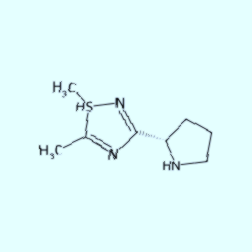 CC1=NC([C@@H]2CCCN2)=N[SH]1C